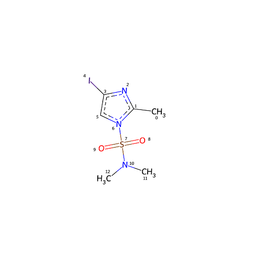 Cc1nc(I)cn1S(=O)(=O)N(C)C